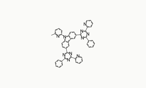 Cc1cccc(-n2c3ccc(-c4nc(-c5ccccc5)nc(-c5ccccn5)n4)cc3c3cc(-c4nc(-c5ccccc5)nc(-c5ccccn5)n4)ccc32)n1